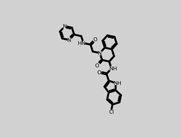 O=C(CN1C(=O)C(NC(=O)c2cc3cc(Cl)ccc3[nH]2)Cc2ccccc21)NCc1cnccn1